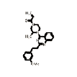 C=CC(=O)N1CCN(c2nc(CCc3cccc(OC)c3)nc3ccccc23)C(C)C1